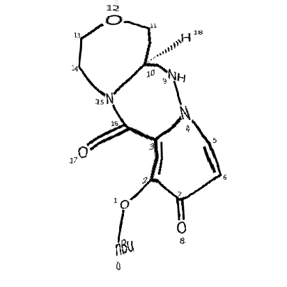 CCCCOc1c2n(ccc1=O)N[C@@H]1COCCN1C2=O